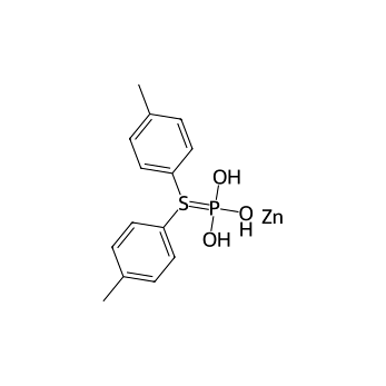 Cc1ccc(S(c2ccc(C)cc2)=P(O)(O)O)cc1.[Zn]